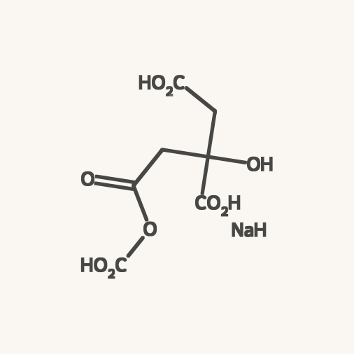 O=C(O)CC(O)(CC(=O)OC(=O)O)C(=O)O.[NaH]